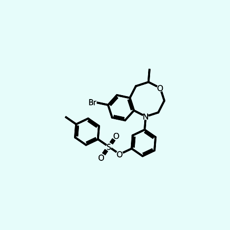 Cc1ccc(S(=O)(=O)Oc2cccc(N3CCOC(C)Cc4cc(Br)ccc43)c2)cc1